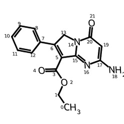 CCOC(=O)C1=C(c2ccccc2)Cn2c1nc(N)cc2=O